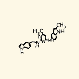 Cc1cc(Nc2ccc3[nH]c(C)cc3c2)nc(NCc2ccc3[nH]ccc3c2)n1